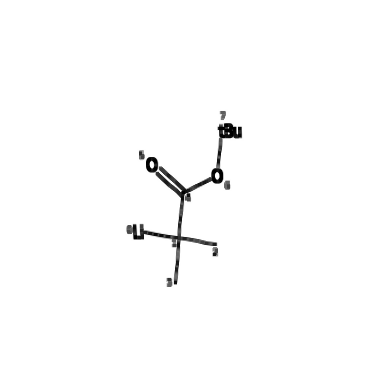 [Li][C](C)(C)C(=O)OC(C)(C)C